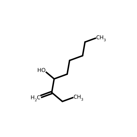 C=C(CC)C(O)CCCCC